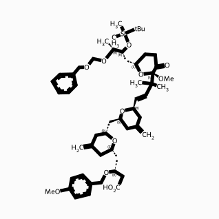 C=C1C[C@H](C[C@@H]2CC(=C)C[C@H](C=CC(C)(C)[C@]3(OC)O[C@H](C[C@@H](O[Si](C)(C)C(C)(C)C)[C@@H](C)OCOCc4ccccc4)CCC3=O)O2)O[C@H](C[C@H](CC(=O)O)OCc2ccc(OC)cc2)C1